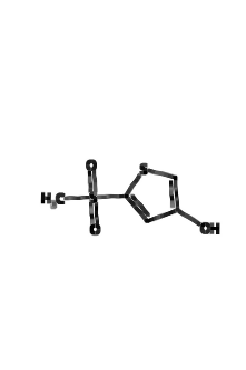 CS(=O)(=O)c1cc(O)cs1